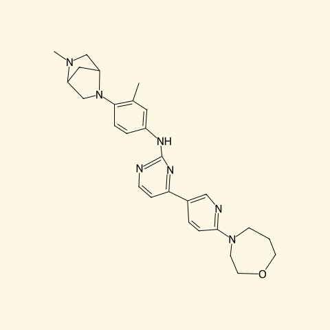 Cc1cc(Nc2nccc(-c3ccc(N4CCCOCC4)nc3)n2)ccc1N1CC2CC1CN2C